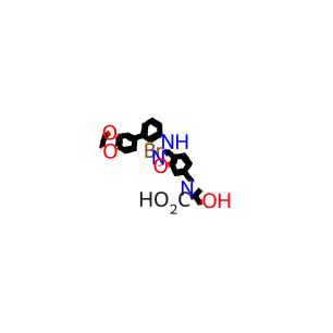 CC(CO)(N=Cc1ccc2c(Nc3cccc(-c4ccc5c(c4)OCCO5)c3Br)noc2c1)C(=O)O